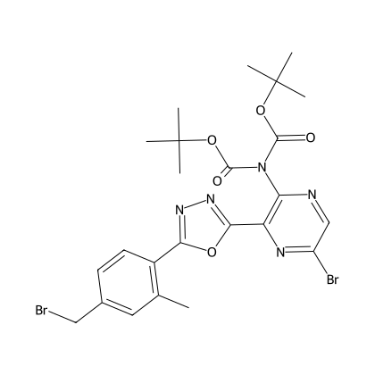 Cc1cc(CBr)ccc1-c1nnc(-c2nc(Br)cnc2N(C(=O)OC(C)(C)C)C(=O)OC(C)(C)C)o1